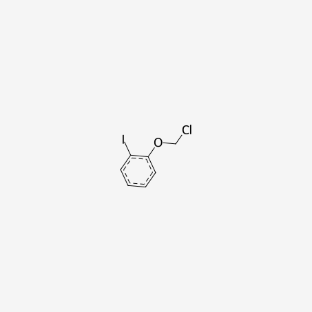 ClCOc1ccccc1I